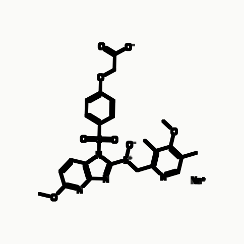 COc1ccc2c(n1)nc([S+]([O-])Cc1ncc(C)c(OC)c1C)n2S(=O)(=O)c1ccc(OCC(=O)[O-])cc1.[Na+]